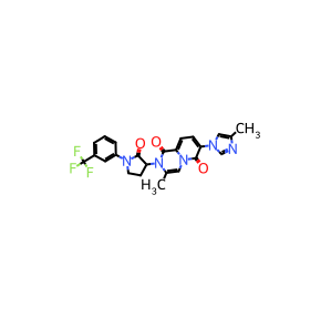 Cc1cn(-c2ccc3c(=O)n(C4CCN(c5cccc(C(F)(F)F)c5)C4=O)c(C)cn3c2=O)cn1